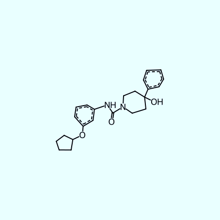 O=C(Nc1cccc(OC2CCCC2)c1)N1CCC(O)(c2ccccc2)CC1